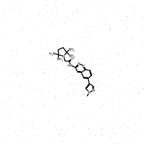 BC1(B)CCC(B)(B)N1CC(=O)Nc1cc2cc(-c3cnn(C)c3)ccc2nn1